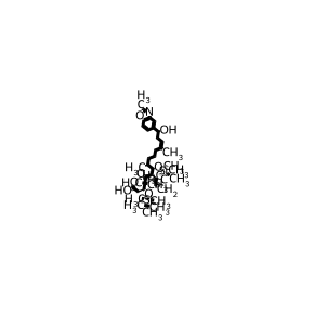 C=CC[C@@H](C(=O)C(C)(C)[C@H](CC(=O)O)O[Si](C)(C)C(C)(C)C)[C@@H](O[Si](C)(C)C(C)(C)C)[C@@H](C)CCC/C(C)=C\C[C@H](O)c1ccc2oc(C)nc2c1